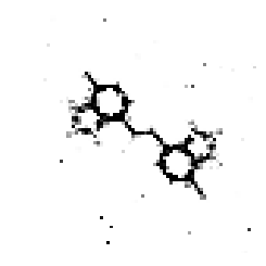 Cc1ccc(CCc2ccc(C)c3nsnc23)c2nsnc12